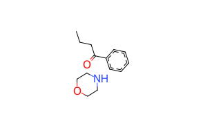 C1COCCN1.CCCC(=O)c1ccccc1